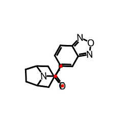 O=C(c1ccc2nonc2c1)N1C2CCC1CC(F)(F)C2